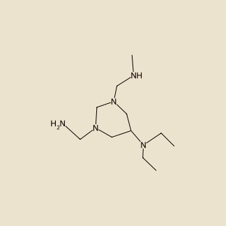 CCN(CC)C1CN(CN)CN(CNC)C1